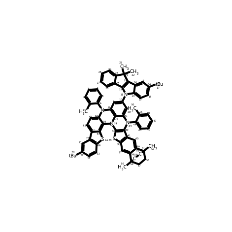 Cc1ccccc1N1c2cc(-n3c4c(c5cc(C(C)(C)C)ccc53)C(C)(C)c3ccccc3-4)cc3c2B(c2sc4cc5c(cc4c2N3c2ccccc2C)C2(C)CCC5(C)CC2)c2c1ccc1c2sc2ccc(C(C)(C)C)cc21